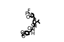 CC(C)C1c2nc(NC(=O)Cc3ccc(S(C)(=O)=O)cc3)sc2CN1Cc1ccn(C(F)F)c(=O)c1